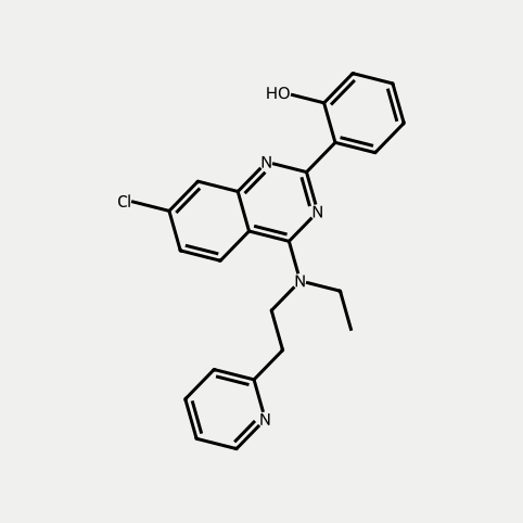 CCN(CCc1ccccn1)c1nc(-c2ccccc2O)nc2cc(Cl)ccc12